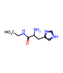 NC(Cc1c[nH]cn1)C(=O)NCC(=O)O